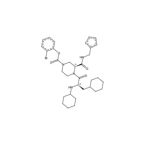 O=C(NCc1cccs1)[C@@H]1CN(C(=O)Oc2ccccc2Br)CCN1C(=O)[C@@H](CC1CCCCC1)NC1CCCCC1